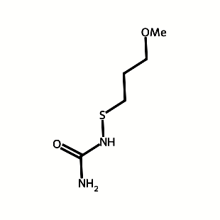 COCCCSNC(N)=O